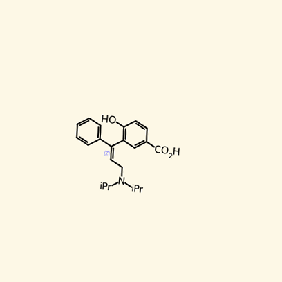 CC(C)N(C/C=C(/c1ccccc1)c1cc(C(=O)O)ccc1O)C(C)C